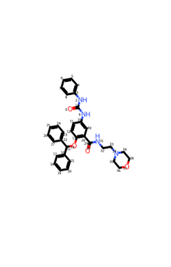 O=C(Nc1ccccc1)Nc1ccc(OC(c2ccccc2)c2ccccc2)c(C(=O)NCCN2CCOCC2)c1